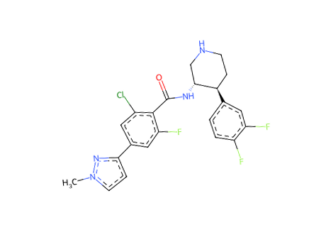 Cn1ccc(-c2cc(F)c(C(=O)N[C@@H]3CNCC[C@H]3c3ccc(F)c(F)c3)c(Cl)c2)n1